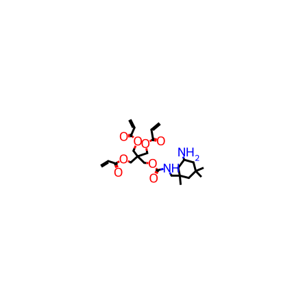 C=CC(=O)OCC(COC(=O)C=C)(COC(=O)C=C)COC(=O)NCC1(C)CC(N)CC(C)(C)C1